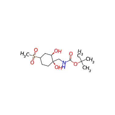 CC(C)(C)OC(=O)NC[C@]1(O)CCC(S(C)(=O)=O)C[C@H]1O